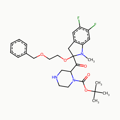 CN1c2cc(F)c(F)cc2CC1(OCCOCc1ccccc1)C(=O)C1CNCCN1C(=O)OC(C)(C)C